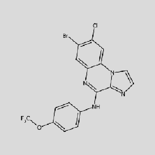 FC(F)(F)Oc1ccc(Nc2nc3cc(Br)c(Cl)cc3n3ccnc23)cc1